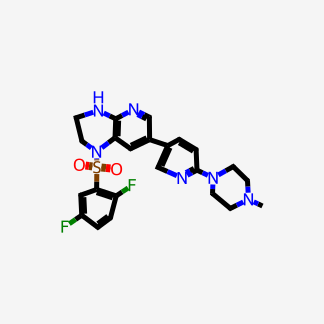 CN1CCN(c2ccc(-c3cnc4c(c3)N(S(=O)(=O)c3cc(F)ccc3F)CCN4)cn2)CC1